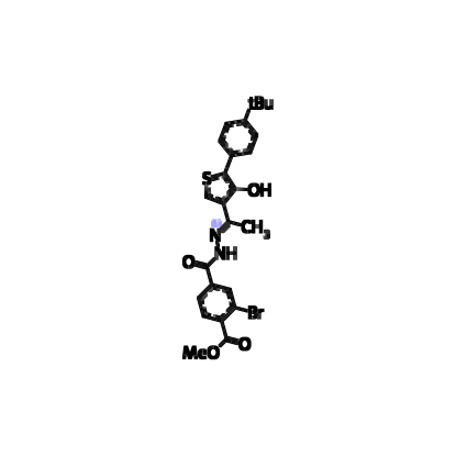 COC(=O)c1ccc(C(=O)N/N=C(\C)c2csc(-c3ccc(C(C)(C)C)cc3)c2O)cc1Br